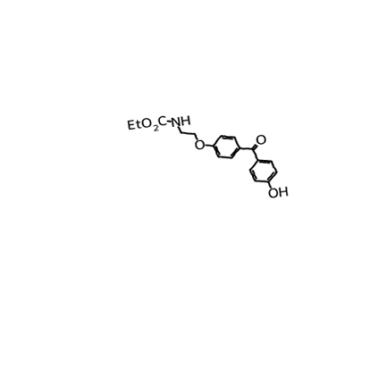 CCOC(=O)NCCOc1ccc(C(=O)c2ccc(O)cc2)cc1